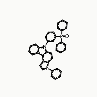 O=P(c1ccccc1)(c1ccccc1)c1cccc(-n2c3ccccc3c3c4ccn(-c5ccccc5)c4ccc32)c1